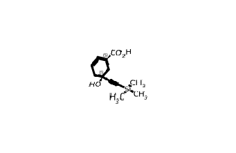 C[Si](C)(C)C#C[C@]1(O)CC=C[C@@H](C(=O)O)C1